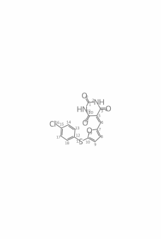 O=C1NC(=O)C(=Cc2ccc(Sc3ccc(Cl)cc3)o2)C(=O)N1